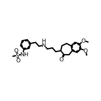 COc1cc2c(cc1OC)CC(=O)C(CCCNCCc1cccc(NS(C)(=O)=O)c1)CC2